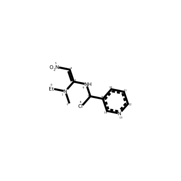 CCN(C)C(=C[N+](=O)[O-])NC(Cl)c1cccnc1